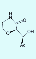 CC(=O)[C@H](O)[C@H]1OCCNC1=O